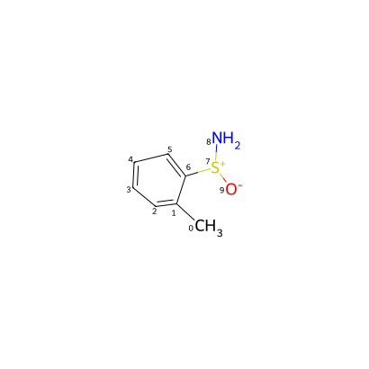 Cc1ccccc1[S+](N)[O-]